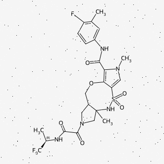 Cc1cc(NC(=O)c2c3c(cn2C)S(=O)(=O)NC2(C)CN(C(=O)C(=O)N[C@H](C)C(F)(F)F)CC2CO3)ccc1F